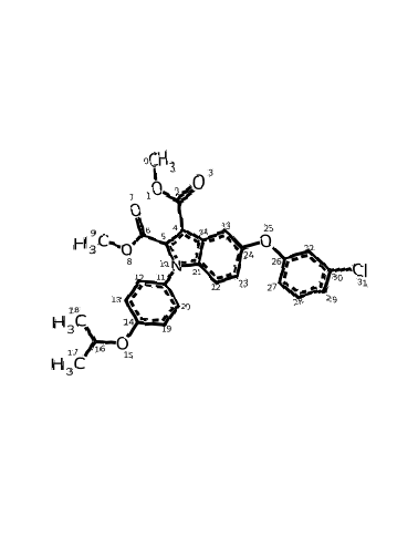 COC(=O)c1c(C(=O)OC)n(-c2ccc(OC(C)C)cc2)c2ccc(Oc3cccc(Cl)c3)cc12